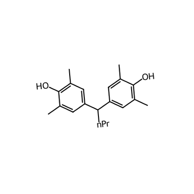 CCCC(c1cc(C)c(O)c(C)c1)c1cc(C)c(O)c(C)c1